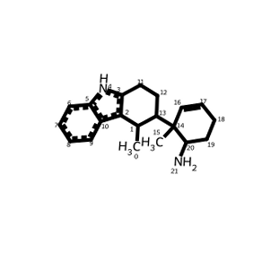 CC1c2c([nH]c3ccccc23)CCC1C1(C)C=CCCC1N